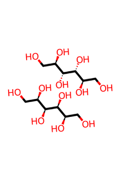 OC[C@@H](O)[C@@H](O)[C@H](O)[C@H](O)CO.OC[C@@H](O)[C@H](O)[C@@H](O)[C@H](O)CO